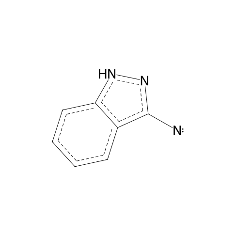 [N]c1n[nH]c2ccccc12